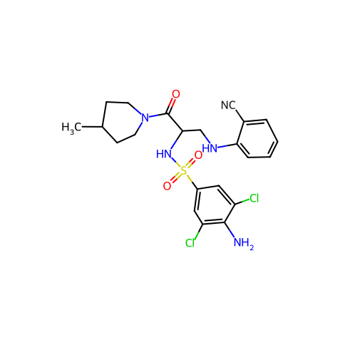 CC1CCN(C(=O)C(CNc2ccccc2C#N)NS(=O)(=O)c2cc(Cl)c(N)c(Cl)c2)CC1